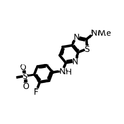 CNc1nc2ccc(Nc3ccc(S(C)(=O)=O)c(F)c3)nc2s1